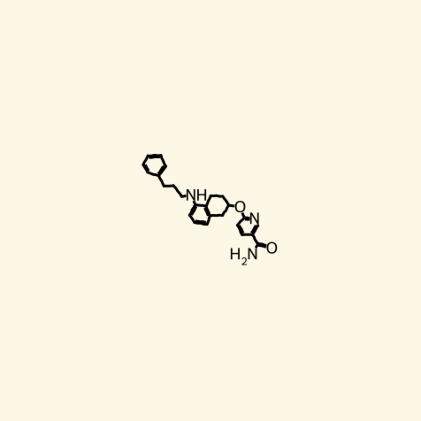 NC(=O)c1ccc(OC2CCc3c(cccc3NCCCc3ccccc3)C2)nc1